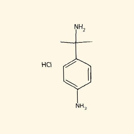 CC(C)(N)c1ccc(N)cc1.Cl